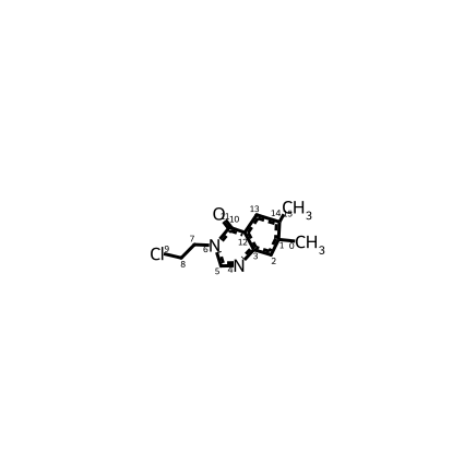 Cc1cc2ncn(CCCl)c(=O)c2cc1C